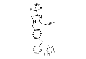 CC#CCc1nc(C(F)(F)CCC)nn1Cc1ccc(Cc2ccccc2-c2nnn[nH]2)cc1